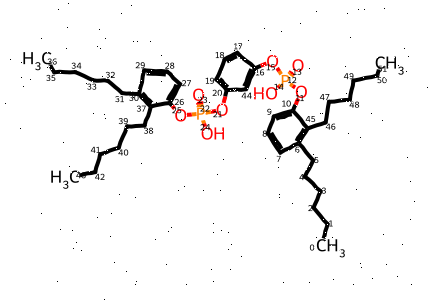 CCCCCCc1cccc(OP(=O)(O)Oc2cccc(OP(=O)(O)Oc3cccc(CCCCCC)c3CCCCCC)c2)c1CCCCCC